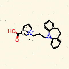 O=C(O)[C+]1C[N+]2(CCCN3c4ccccc4CCc4ccccc43)CCC1CC2